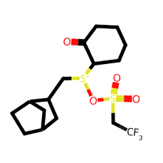 O=C1CCCCC1[S+](CC1CC2CCC1C2)OS(=O)(=O)CC(F)(F)F